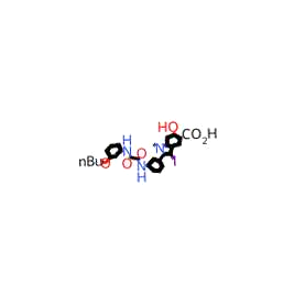 CCCCOc1cccc(NC(=O)C(=O)Nc2cccc(-c3c(I)c4cc(C(=O)O)c(O)cc4n3C)c2)c1